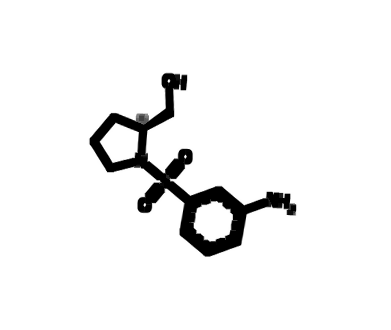 Nc1cccc(S(=O)(=O)N2CCC[C@H]2CO)c1